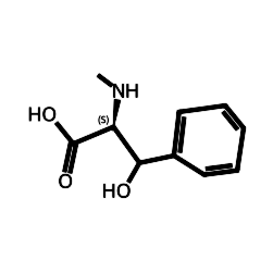 CN[C@H](C(=O)O)C(O)c1ccccc1